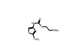 COCCOC(=O)Nc1csc(C=O)c1